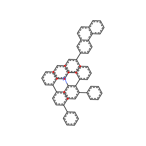 c1ccc(-c2ccc(-c3ccccc3N(c3ccc(-c4ccc5c(ccc6ccccc65)c4)cc3)c3cccc(-c4ccccc4)c3-c3ccccc3-c3ccccc3)cc2)cc1